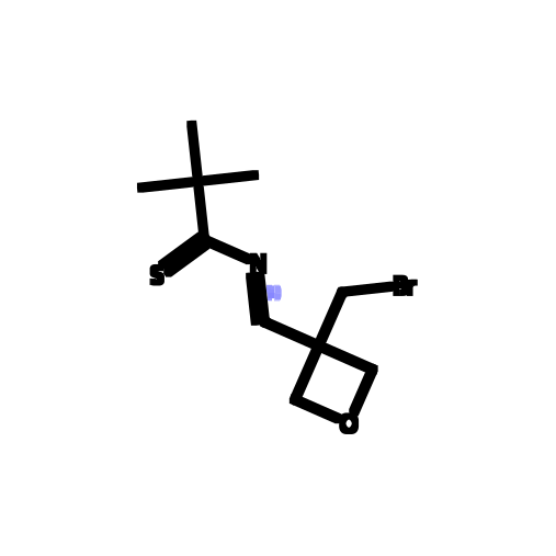 CC(C)(C)C(=S)/N=C/C1(CBr)COC1